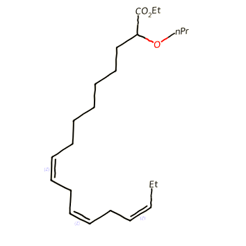 CC/C=C\C/C=C\C/C=C\CCCCCCC(OCCC)C(=O)OCC